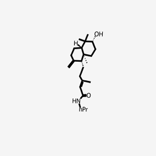 C=C1CC[C@@H]2C(C)(C)[C@H](O)CC[C@@]2(C)[C@@H]1CC/C(C)=C/C(=O)NCCC